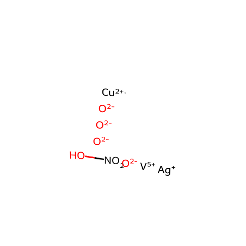 O=[N+]([O-])O.[Ag+].[Cu+2].[O-2].[O-2].[O-2].[O-2].[V+5]